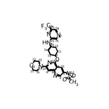 CS(=O)(=O)Nc1cnc2cc(N3CCOCC3)nc(OC3CCC(Nc4cncc(C(F)(F)F)n4)CC3)c2c1